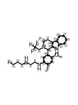 COc1cc(F)c(NCCNCCCF)cc1[C@@H]1c2[nH]c3ccccc3c2C[C@@H](C)N1CC(F)(F)F